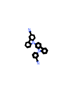 N#Cc1cccc(-n2c3ccccc3c3ccc(N4C5=C(CCC=C5)C5=CC(C#N)CCC54)cc32)c1